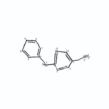 Nc1ccc(Nc2ccccc2)nc1